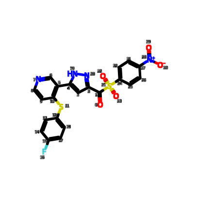 O=C(c1cc(-c2cnccc2Sc2ccc(F)cc2)[nH]n1)S(=O)(=O)c1ccc([N+](=O)[O-])cc1